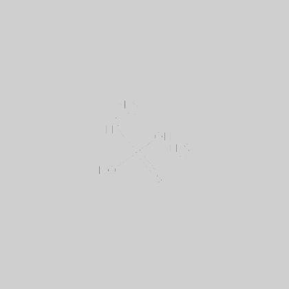 OP(O)(=S)S.S.S